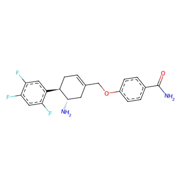 NC(=O)c1ccc(OCC2=CC[C@H](c3cc(F)c(F)cc3F)[C@@H](N)C2)cc1